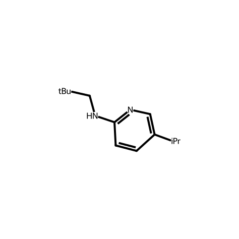 CC(C)c1ccc(NCC(C)(C)C)nc1